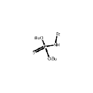 CCNP(=S)(OCC(C)C)OCC(C)C